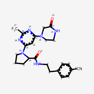 N#Cc1ccc(CCNC(=O)C2CCCN2c2cc(N3CCNC(=O)C3)nc(C(F)(F)F)n2)cc1